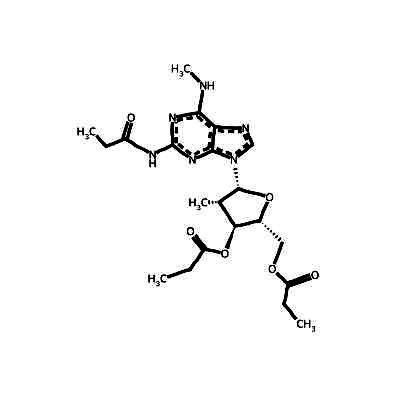 CCC(=O)Nc1nc(NC)c2ncn([C@@H]3O[C@H](COC(=O)CC)[C@@H](OC(=O)CC)[C@@H]3C)c2n1